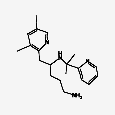 Cc1cnc(CC(CCCN)NC(C)(C)c2ccccn2)c(C)c1